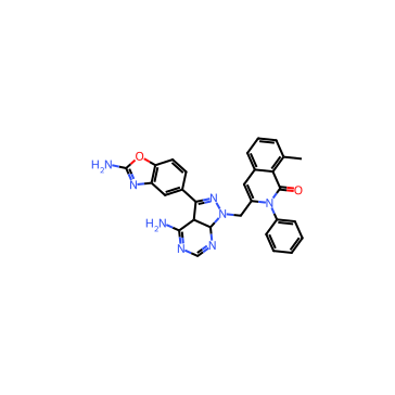 Cc1cccc2cc(CN3N=C(c4ccc5oc(N)nc5c4)C4C(N)=NC=NC43)n(-c3ccccc3)c(=O)c12